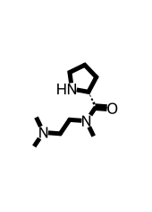 CN(C)CCN(C)C(=O)[C@H]1CCCN1